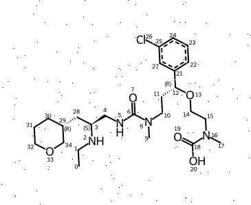 CCN[C@H](CNC(=O)N(C)CC[C@@H](OCCN(C)C(=O)O)c1cccc(Cl)c1)C[C@H]1CCCOC1